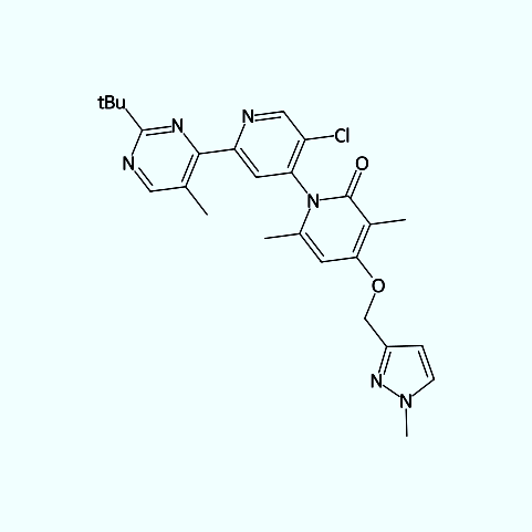 Cc1cnc(C(C)(C)C)nc1-c1cc(-n2c(C)cc(OCc3ccn(C)n3)c(C)c2=O)c(Cl)cn1